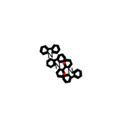 C1=C(n2c3ccccc3c3ccccc32)c2c(n(-c3ccccc3-c3ccccc3-n3c4ccccc4c4ccccc43)c3ccccc23)CC1